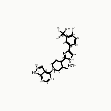 CC1CN(c2ncnc3[nH]ncc23)CCC1c1nc(-c2ccc(F)c(C(F)(F)F)c2)c[nH]1.Cl